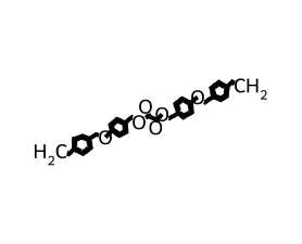 C=Cc1ccc(COc2ccc(COC(=O)C(=O)OCc3ccc(OCc4ccc(C=C)cc4)cc3)cc2)cc1